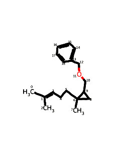 CC(C)=CCCC1(C)CC1COCc1ccccc1